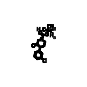 CC(C)(C)OC(=O)N1CCC(c2cccc(Cl)c2)C(=O)C1